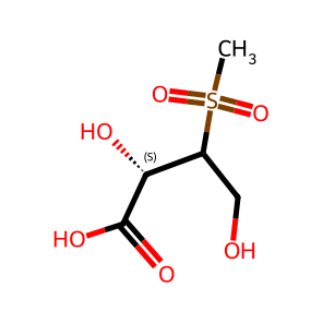 CS(=O)(=O)C(CO)[C@@H](O)C(=O)O